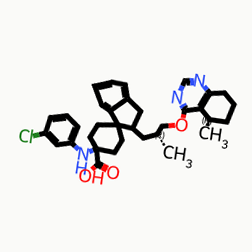 C[C@@H](COc1ncnc2c1[C@H](C)CCC2)CC1Cc2ccccc2C12CCC(Nc1cccc(Cl)c1)(C(=O)O)CC2